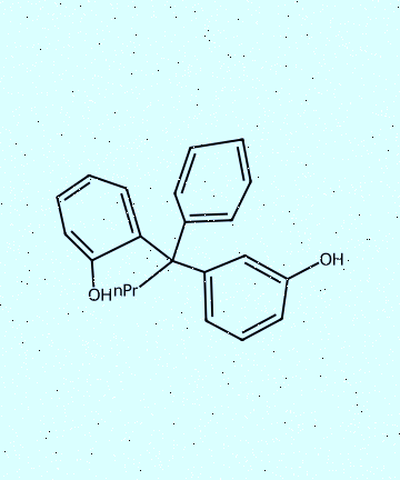 CCCC(c1ccccc1)(c1cccc(O)c1)c1ccccc1O